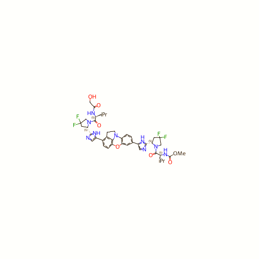 COC(=O)N[C@H](C(=O)N1CC(F)(F)C[C@H]1c1ncc(-c2ccc3c(c2)Oc2ccc(-c4cnc([C@@H]5CC(F)(F)CN5C(=O)[C@@H](NC(=O)CO)C(C)C)[nH]4)c4c2N3CC4)[nH]1)C(C)C